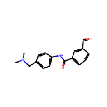 CN(C)Cc1ccc(NC(=O)c2cccc(C=O)c2)cc1